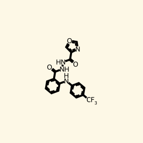 O=C(NNC(=O)c1ccccc1Nc1ccc(C(F)(F)F)cc1)c1cocn1